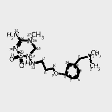 CN(C)Cc1cccc(OCCCNN2CN(C)C(N)=NS2(=O)=O)c1